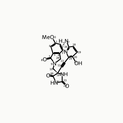 COc1ccc2c(c1)C(=O)N(C[C@@]1(C#Cc3nc(N)ccc3O)NC(=O)NC1=O)C2